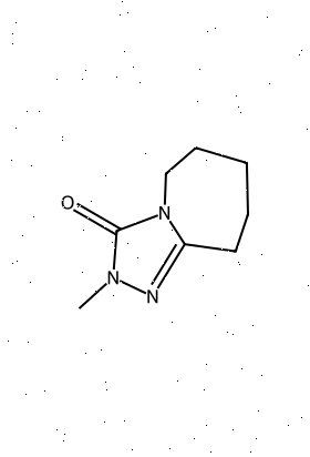 Cn1nc2n(c1=O)CCCCC2